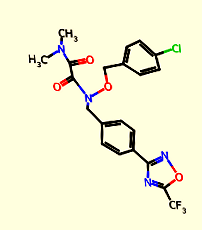 CN(C)C(=O)C(=O)N(Cc1ccc(-c2noc(C(F)(F)F)n2)cc1)OCc1ccc(Cl)cc1